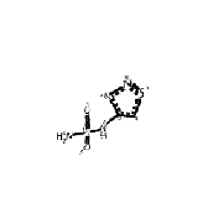 NS(=O)(=O)Nc1csnn1